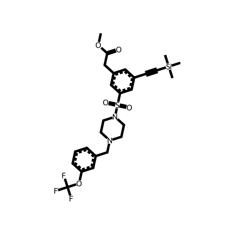 COC(=O)Cc1cc(C#C[Si](C)(C)C)cc(S(=O)(=O)N2CCN(Cc3cccc(OC(F)(F)F)c3)CC2)c1